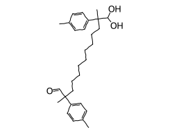 Cc1ccc(C(C)(C=O)CCCCCCCCCC(C)(c2ccc(C)cc2)C(O)O)cc1